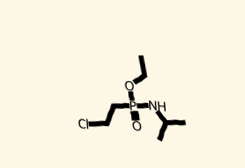 CCOP(=O)(CCCl)NC(C)C